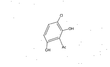 CC(=O)c1c(O)ccc(Cl)c1O